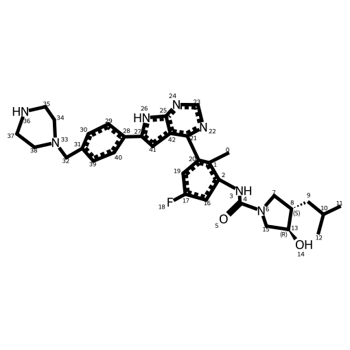 Cc1c(NC(=O)N2C[C@H](CC(C)C)[C@@H](O)C2)cc(F)cc1-c1ncnc2[nH]c(-c3ccc(CN4CCNCC4)cc3)cc12